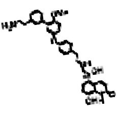 COc1ccc(Oc2ccc(CCNC[C@H](O)c3ccc(O)c4[nH]c(=O)ccc34)cc2)cc1-c1cccc(CCN)c1